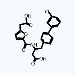 O=C(O)Cc1ccc(C(=O)NC(CC(=O)O)Cc2ccc(-c3cccc(Cl)c3)cc2)o1